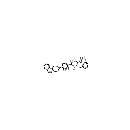 COC(=O)[C@H](Cc1ccccc1)NC(=O)c1ccc(N2CCC3(C=Cc4ccccc43)CC2)nn1